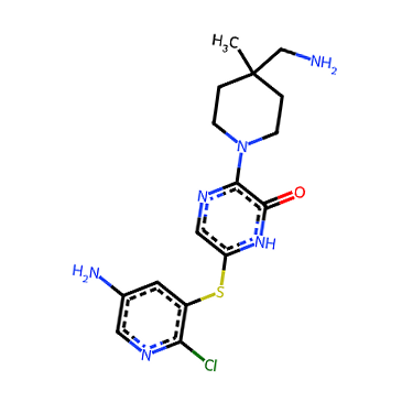 CC1(CN)CCN(c2ncc(Sc3cc(N)cnc3Cl)[nH]c2=O)CC1